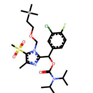 Cc1nc(C(OC(=O)N(C(C)C)C(C)C)c2ccc(F)c(Cl)c2)n(COCC[Si](C)(C)C)c1S(C)(=O)=O